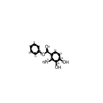 CCCc1c(C(=O)Oc2ccccc2)ccc(O)c1O